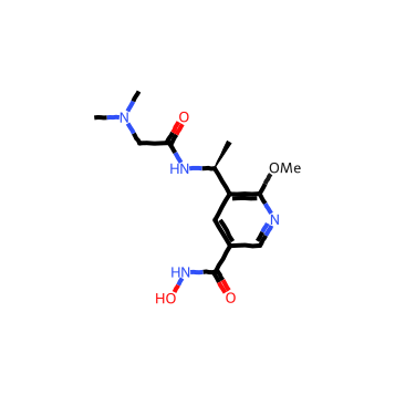 COc1ncc(C(=O)NO)cc1[C@H](C)NC(=O)CN(C)C